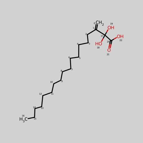 C=C(CCCCCCCCCCCCCCC)C(O)(O)C(=O)O